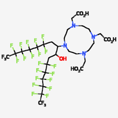 O=C(O)CN1CCN(CC(=O)O)CCN(C(CC(F)(F)C(F)(F)C(F)(F)C(F)(F)C(F)(F)C(F)(F)F)C(O)CC(F)(F)C(F)(F)C(F)(F)C(F)(F)C(F)(F)C(F)(F)F)CCN(CC(=O)O)CC1